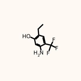 CCc1cc(C(F)(F)F)c(N)cc1O